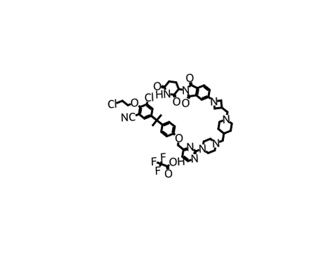 CC(C)(c1ccc(OCc2ccnc(N3CCN(CC4CCN(CC5CN(c6ccc7c(c6)C(=O)N(C6CCC(=O)NC6=O)C7=O)C5)CC4)CC3)n2)cc1)c1cc(Cl)c(OCCCl)c(C#N)c1.O=C(O)C(F)(F)F